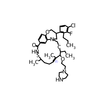 CCCc1c(C2COc3ccc4cc3N(CCC(CC)C(OCCN3CCNCC3)/C(C)=C/CCC(C)SNC4=O)C2)ccc(Cl)c1F